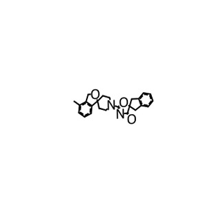 Cc1cccc2c1COC21CCN(C2=NC(=O)C3(Cc4ccccc4C3)O2)CC1